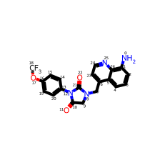 Nc1cccc2c(CN3CC(=O)N(c4ccc(OC(F)(F)F)cc4)C3=O)ccnc12